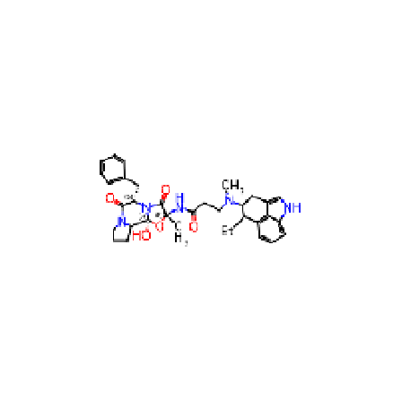 CCC1c2cccc3[nH]cc(c23)CC1N(C)CCC(=O)N[C@]1(C)O[C@@]2(O)C3CCCN3C(=O)[C@H](Cc3ccccc3)N2C1=O